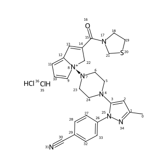 Cc1cc(N2CCN([N@@+]34C=CC=C3C=C(C(=O)N3CCSC3)C4)CC2)n(-c2ccc(C#N)cc2)n1.Cl.Cl